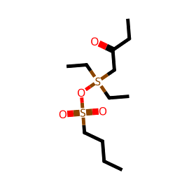 CCCCS(=O)(=O)OS(CC)(CC)CC(=O)CC